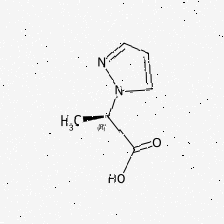 C[C@H](C(=O)O)n1cccn1